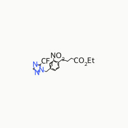 CCOC(=O)CCCc1ccc(Cn2ncnc2C(F)(F)F)cc1[N+](=O)[O-]